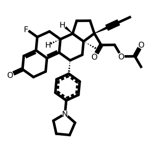 CC#C[C@]1(C(=O)COC(C)=O)CC[C@H]2[C@@H]3CC(F)C4=CC(=O)CCC4=C3[C@@H](c3ccc(N4CCCC4)cc3)C[C@@]21C